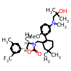 COc1ccc(N(C)CC(C)(C)O)cc1C1=C(CN2C(=O)O[C@H](c3cc(C)cc(C(F)(F)F)c3)[C@@H]2C)CC(C)(C)CC1